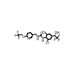 O=C(NCc1ccc(OCC(F)(F)F)nc1)Nc1c(Cl)cc([C@H](O)C(F)(F)F)cc1Cl